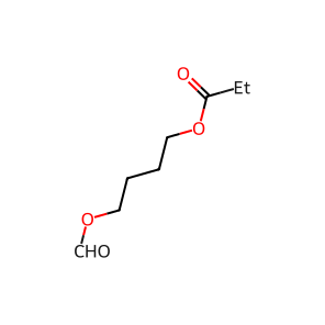 CCC(=O)OCCCCOC=O